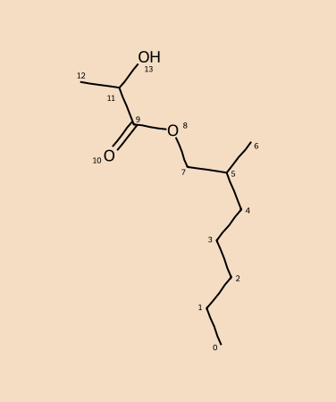 CCCCCC(C)COC(=O)C(C)O